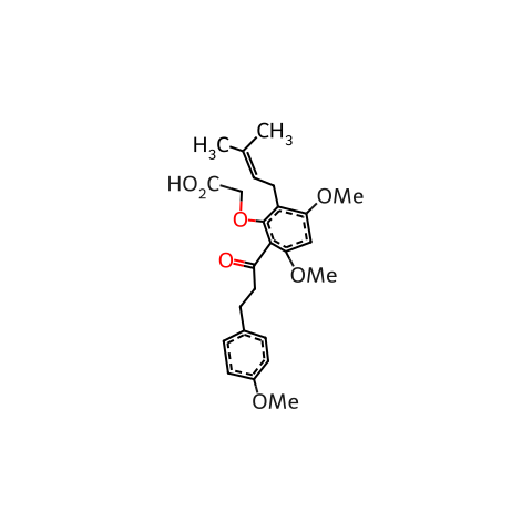 COc1ccc(CCC(=O)c2c(OC)cc(OC)c(CC=C(C)C)c2OCC(=O)O)cc1